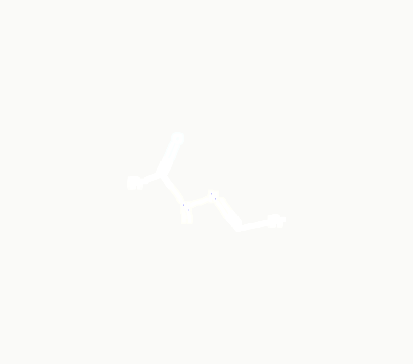 CC(C)C=NNC(=O)C(C)C